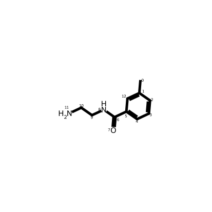 Cc1cccc(C(=O)NCCN)c1